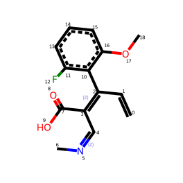 C=C/C(=C(\C=N/C)C(=O)O)c1c(F)cccc1OC